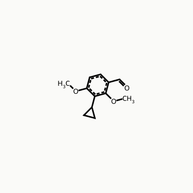 COc1ccc(C=O)c(OC)c1C1CC1